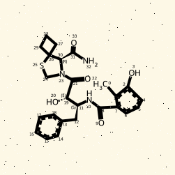 Cc1c(O)cccc1C(=O)N[C@@H](Cc1ccccc1)[C@H](O)C(=O)N1CSC2(CCC2)[C@H]1C(N)=O